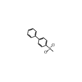 C[Si](Cl)(Cl)c1ccc(-c2ccccc2)cc1